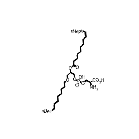 CCCCCCC/C=C\CCCCCCCC(=O)O[C@H](COCCCCCCCCCCCCCCCCCC)COP(=O)(O)OC[C@H](N)C(=O)O